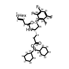 CCCCCC/C=C/CC(=O)N[C@@H](CCC(=O)ON(C1CCCCC1)C1CCCCC1)CSc1c(F)c(F)cc(F)c1F